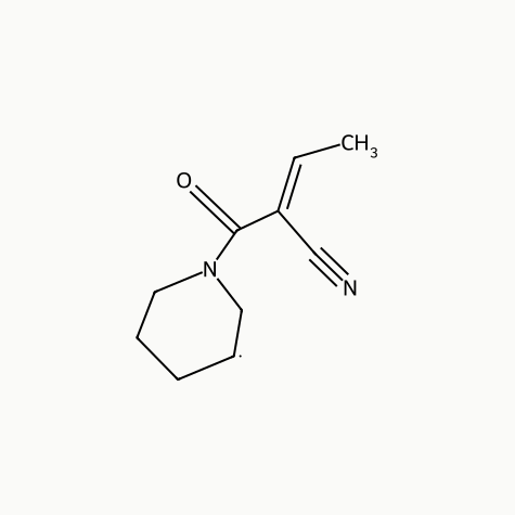 CC=C(C#N)C(=O)N1C[CH]CCC1